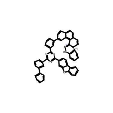 N=C1C=Cc2ccc3ccc(-c4cccc(-c5nc(-c6cccc(-c7ccccc7)c6)nc(-c6ccc7c(c6)oc6ccccc67)n5)c4)cc3c2/C1=N/Nc1ccccc1